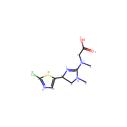 CN(CC(=O)O)C1=NC(c2cnc(Cl)s2)CN1C